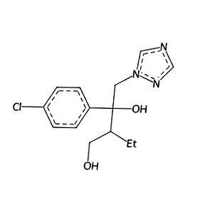 CCC(CO)C(O)(Cn1cncn1)c1ccc(Cl)cc1